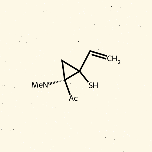 C=CC1(S)C[C@]1(NC)C(C)=O